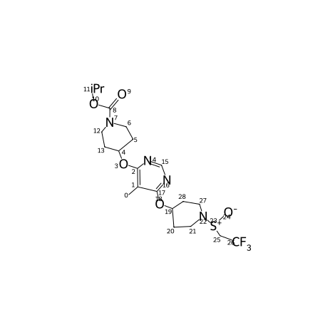 Cc1c(OC2CCN(C(=O)OC(C)C)CC2)ncnc1OC1CCN([S+]([O-])CC(F)(F)F)CC1